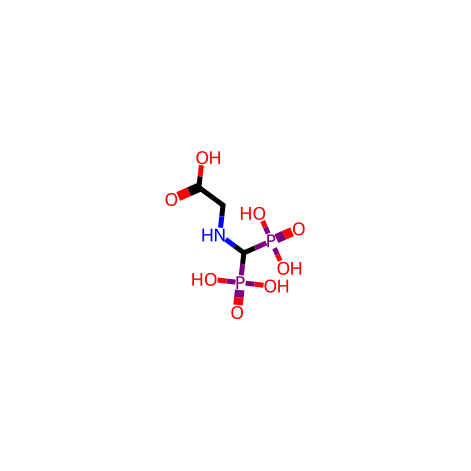 O=C(O)CNC(P(=O)(O)O)P(=O)(O)O